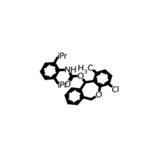 Cc1ccc(Cl)c2c1C(OC(=O)Nc1c(C(C)C)cccc1C(C)C)c1ccccc1CO2